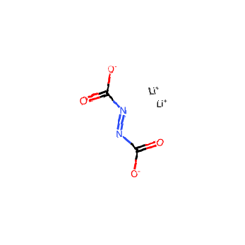 O=C([O-])N=NC(=O)[O-].[Li+].[Li+]